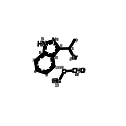 CC(Br)c1n[nH]c2ccccc12.CC(C)(C)OC=O